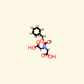 O=C(O)CN(CC(=O)O)C(=O)OCc1ccccc1